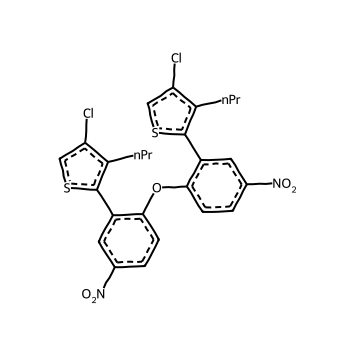 CCCc1c(Cl)csc1-c1cc([N+](=O)[O-])ccc1Oc1ccc([N+](=O)[O-])cc1-c1scc(Cl)c1CCC